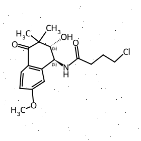 COc1ccc2c(c1)[C@H](NC(=O)CCCCl)[C@@H](O)C(C)(C)C2=O